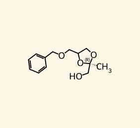 C[C@@]1(CO)OCC(COCc2ccccc2)O1